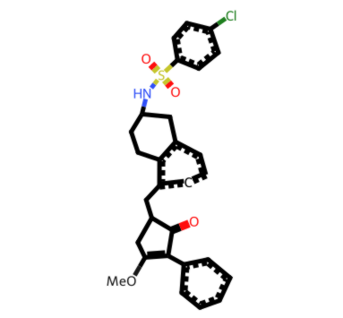 COC1=C(c2ccccc2)C(=O)C(Cc2cccc3c2CCC(NS(=O)(=O)c2ccc(Cl)cc2)C3)C1